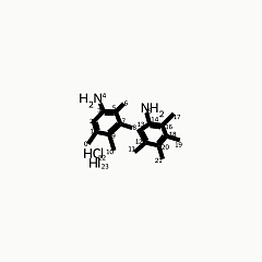 Cc1cc(N)c(C)c(C)c1C.Cc1cc(N)c(C)c(C)c1C.Cl.I